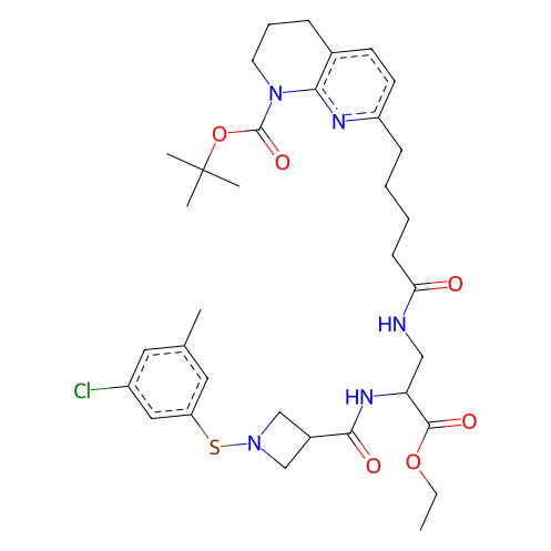 CCOC(=O)C(CNC(=O)CCCCc1ccc2c(n1)N(C(=O)OC(C)(C)C)CCC2)NC(=O)C1CN(Sc2cc(C)cc(Cl)c2)C1